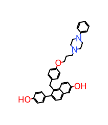 Oc1ccc(-c2ccc3cc(O)ccc3c2Cc2ccc(OCCCN3CCN(c4ccccc4)CC3)cc2)cc1